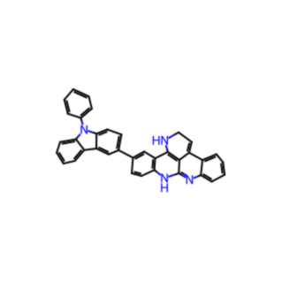 C1=c2c3c(nc4ccccc24)Nc2ccc(-c4ccc5c(c4)c4ccccc4n5-c4ccccc4)cc2C=3NC1